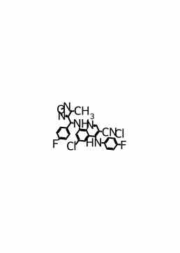 Cc1nonc1C(Nc1cc(Cl)cc2c(Nc3ccc(F)c(Cl)c3)c(C#N)cnc12)c1ccc(F)cc1